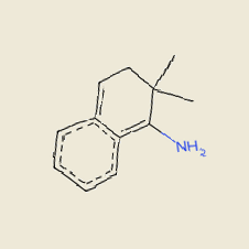 CC1(C)CC=c2ccccc2=C1N